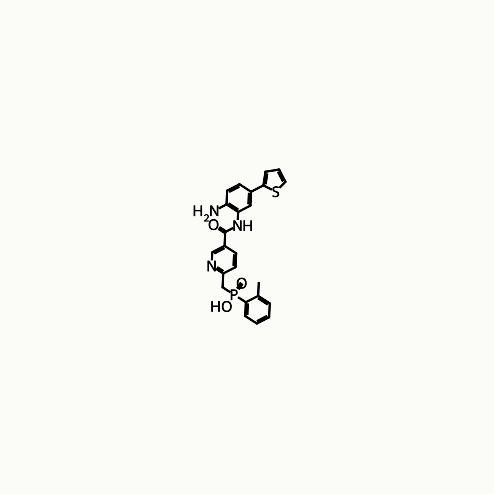 Cc1ccccc1P(=O)(O)Cc1ccc(C(=O)Nc2cc(-c3cccs3)ccc2N)cn1